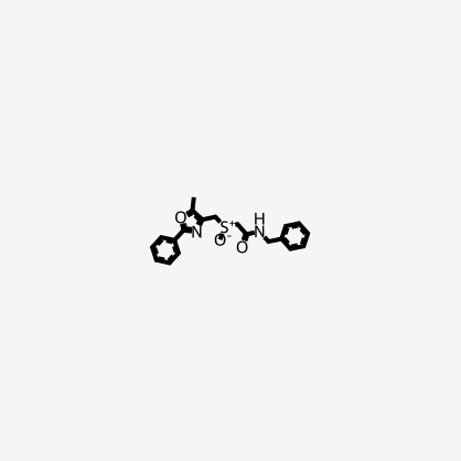 Cc1oc(-c2ccccc2)nc1C[S+]([O-])CC(=O)NCc1ccccc1